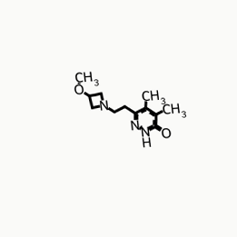 COC1CN(CCc2n[nH]c(=O)c(C)c2C)C1